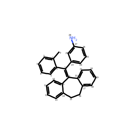 Cc1ccccc1C(=C1c2ccccc2CCc2ccccc21)c1cccc(N)c1